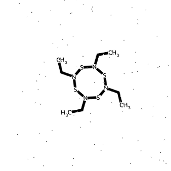 CCN1SN(CC)SN(CC)SN(CC)S1